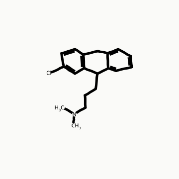 CN(C)CCCC1c2ccccc2Cc2ccc(Cl)cc21